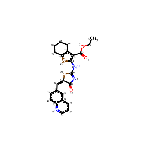 CCOC(=O)c1c(NC2=NC(=O)C(=Cc3ccc4ncccc4c3)S2)sc2c1CCCC2